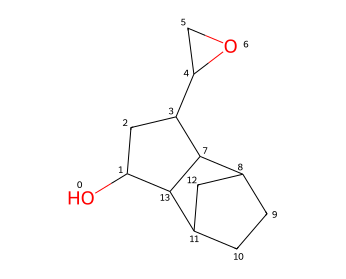 OC1CC(C2CO2)C2C3CCC(C3)C12